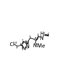 C=CN/C=C(/Cn1cc(CCl)nn1)NC